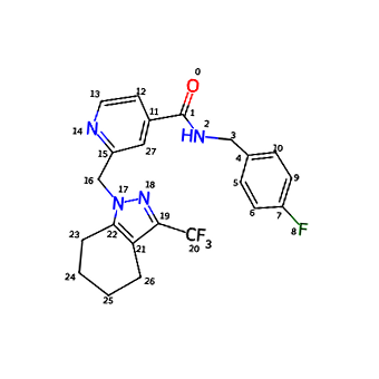 O=C(NCc1ccc(F)cc1)c1ccnc(Cn2nc(C(F)(F)F)c3c2CCCC3)c1